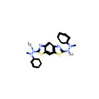 CC(=O)N(c1nc2cc3nc(N(C(C)=O)N(C)C4CCCCC4)sc3cc2s1)N(C)C1CCCCC1